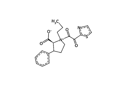 CCC[N+]1(C(=O)C(=O)c2nccs2)CCC(c2ccccc2)[C@H]1C(=O)[O-]